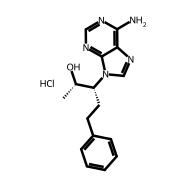 C[C@H](O)[C@@H](CCc1ccccc1)n1cnc2c(N)ncnc21.Cl